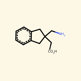 NCC1(CC(=O)O)Cc2ccccc2C1